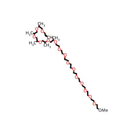 C=CCOCC(C)OCC(C)OCC(C)OCC(C)OCC(C)OCCOCCOCCOCCOCCOCCOCCOCCOCCOCCOC